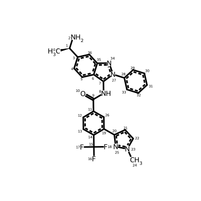 C[C@@H](N)c1ccc2c(NC(=O)c3ccc(C(F)(F)F)c(-c4ccn(C)n4)c3)n(-c3ccccc3)nc2c1